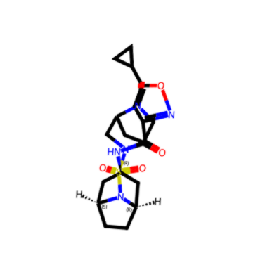 CN1CC2CC1CN2S(=O)(=O)N1[C@@H]2CC[C@H]1C[C@@H](NC(=O)c1cc(C3CC3)on1)C2